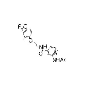 CC(=O)Nc1cc(C(=O)NCCOc2ccc(C(F)(F)F)cc2C)ccn1